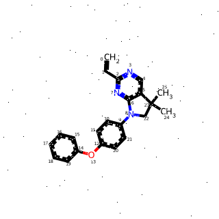 C=Cc1ncc2c(n1)N(c1ccc(Oc3ccccc3)cc1)CC2(C)C